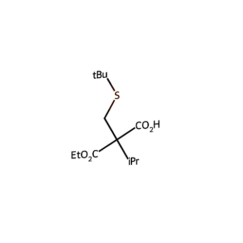 CCOC(=O)C(CSC(C)(C)C)(C(=O)O)C(C)C